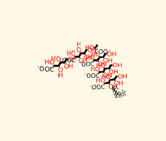 CC(O)C(=O)[O-].O=C([O-])[C@H](O)[C@@H](O)[C@H](O)[C@H](O)CO.O=C([O-])[C@H](O)[C@@H](O)[C@H](O)[C@H](O)CO.O=C([O-])[C@H](O)[C@@H](O)[C@H](O)[C@H](O)CO.O=C([O-])[C@H](O)[C@@H](O)[C@H](O)[C@H](O)CO.O=C([O-])[C@H](O)[C@@H](O)[C@H](O)[C@H](O)CO.[K+].[K+].[Zn+2].[Zn+2]